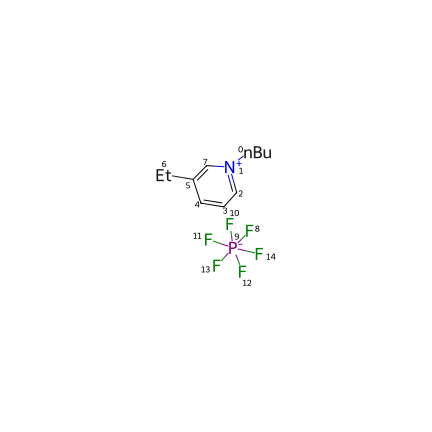 CCCC[n+]1cccc(CC)c1.F[P-](F)(F)(F)(F)F